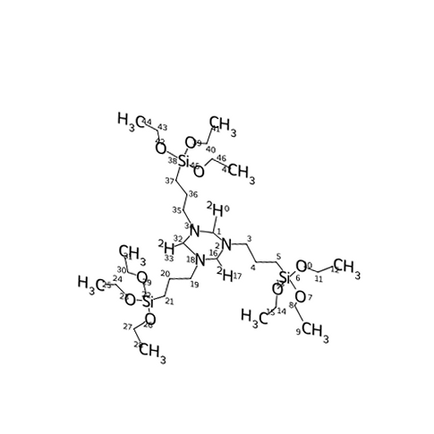 [2H]C1N(CCC[Si](OCC)(OCC)OCC)C([2H])N(CCC[Si](OCC)(OCC)OCC)C([2H])N1CCC[Si](OCC)(OCC)OCC